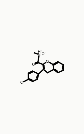 C[NH+]([O-])C(=O)C1=C(c2ccc(Cl)cc2)Cc2ccccc2O1